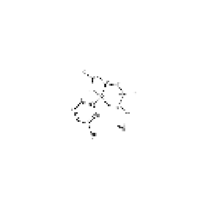 CCCC1(c2cccc(O)c2)CC(C)N(C)CC1C.Cl